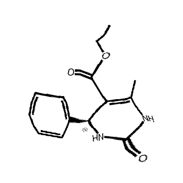 CCOC(=O)C1=C(C)NC(=O)N[C@H]1c1ccccc1